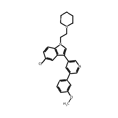 COc1cccc(-c2cncc(-c3cn(CCN4CCCCC4)c4ccc(Cl)cc34)c2)c1